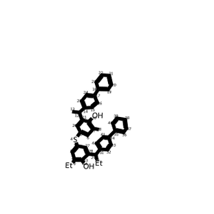 CCc1cc(Sc2cc(C)c(O)c(C(C)c3ccc(-c4ccccc4)cc3)c2)cc(C(CC)c2ccc(-c3ccccc3)cc2)c1O